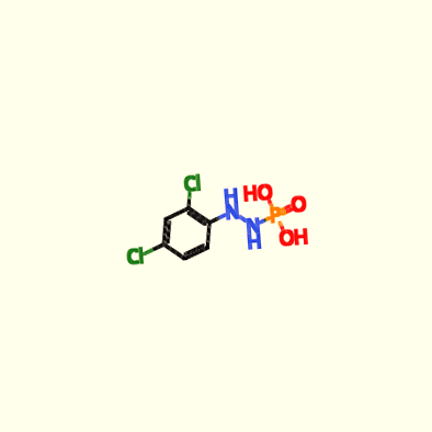 O=P(O)(O)NNc1ccc(Cl)cc1Cl